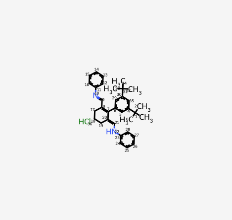 CC(C)(C)c1cc(C2=C(/C=N/c3ccccc3)CCC/C2=C\Nc2ccccc2)cc(C(C)(C)C)c1.Cl